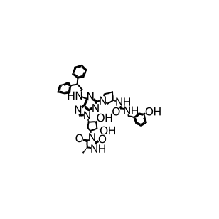 C[C@@H]1NC(=O)N([C@H]2C[C@@H](n3cnc4c(NCC(c5ccccc5)c5ccccc5)nc(N5CC[C@@H](NC(=O)NCc6cccc(O)c6)C5)nc43)[C@H](O)[C@@H]2O)C1=O